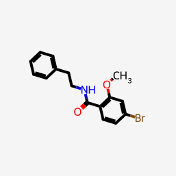 COc1cc(Br)ccc1C(=O)NCCc1ccccc1